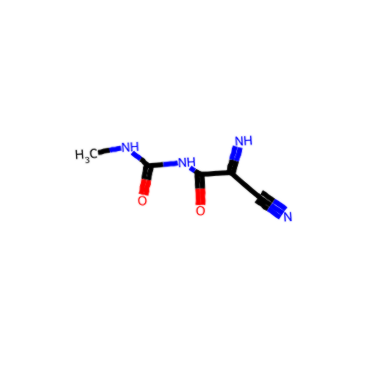 CNC(=O)NC(=O)C(=N)C#N